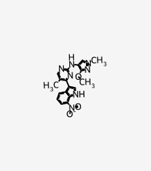 COc1nn(C)cc1Nc1ncc(C)c(-c2c[nH]c3c([N+](=O)[O-])cccc23)n1